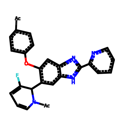 CC(=O)c1ccc(Oc2cc3nc(-c4ccccn4)[nH]c3cc2C2C(F)=CC=CN2C(C)=O)cc1